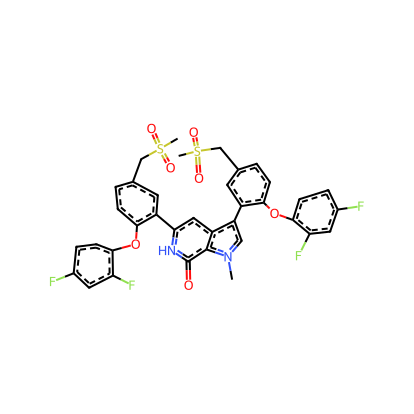 Cn1cc(-c2cc(CS(C)(=O)=O)ccc2Oc2ccc(F)cc2F)c2cc(-c3cc(CS(C)(=O)=O)ccc3Oc3ccc(F)cc3F)[nH]c(=O)c21